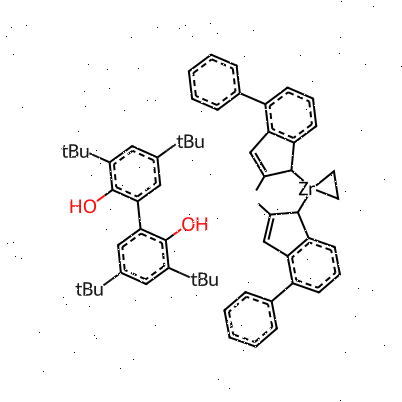 CC(C)(C)c1cc(-c2cc(C(C)(C)C)cc(C(C)(C)C)c2O)c(O)c(C(C)(C)C)c1.CC1=Cc2c(-c3ccccc3)cccc2[CH]1[Zr]1([CH]2C(C)=Cc3c(-c4ccccc4)cccc32)[CH2][CH2]1